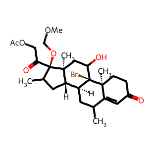 COCO[C@]1(C(=O)COC(C)=O)C(C)C[C@H]2[C@@H]3CC(C)C4=CC(=O)CC[C@]4(C)[C@@]3(Br)C(O)C[C@@]21C